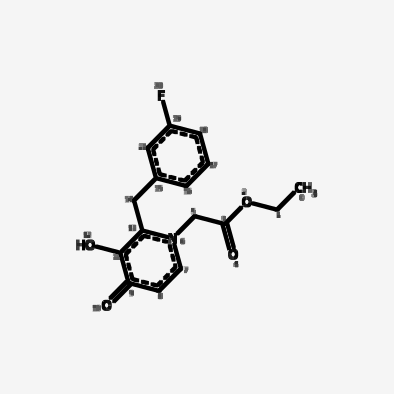 CCOC(=O)Cn1ccc(=O)c(O)c1Cc1cccc(F)c1